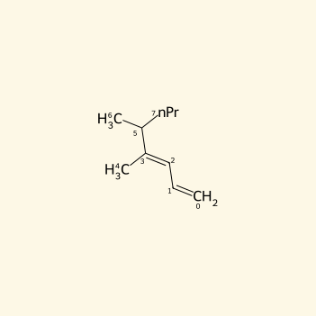 C=CC=C(C)C(C)CCC